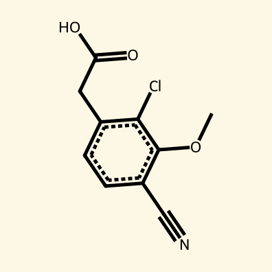 COc1c(C#N)ccc(CC(=O)O)c1Cl